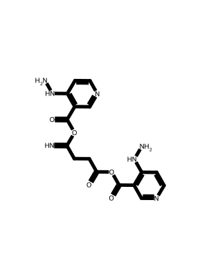 N=C(CCC(=O)OC(=O)c1cnccc1NN)OC(=O)c1cnccc1NN